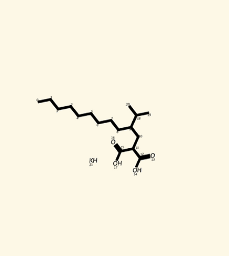 CCCCCCCCCC(CC(C(=O)O)C(=O)O)C(C)C.[KH]